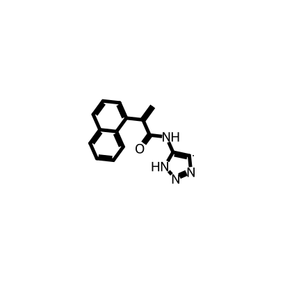 C=C(C(=O)Nc1[c]nn[nH]1)c1cccc2ccccc12